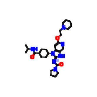 CC(C)NC(=O)C1CCC(n2/c(=N/C(=O)N3CCCC3)[nH]c3cnc(OCCN4CCCCC4)cc32)CC1